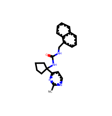 N#Cc1nccc(C2(NC(=O)NCc3cccc4ccccc34)CCCC2)n1